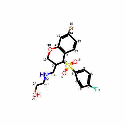 O=S(=O)(c1ccc(F)cc1)C1c2ccc(Br)cc2OCC1CNCCO